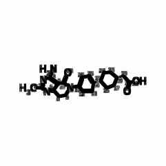 Cc1nc(N)c2c(n1)CCN(c1ccc([C@H]3CC[C@@H](CC(=O)O)CC3)cc1)C2=O